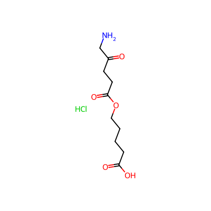 Cl.NCC(=O)CCC(=O)OCCCCC(=O)O